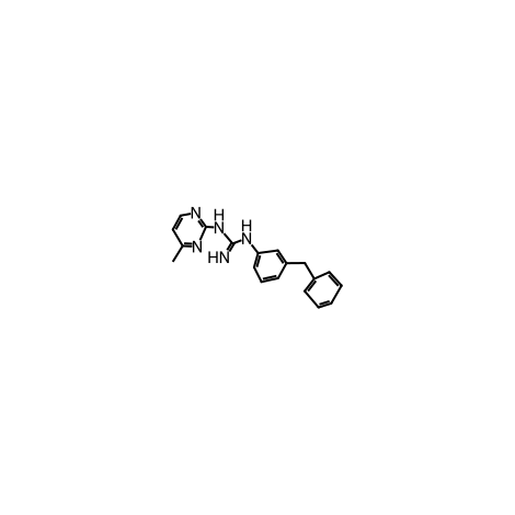 Cc1ccnc(NC(=N)Nc2cccc(Cc3ccccc3)c2)n1